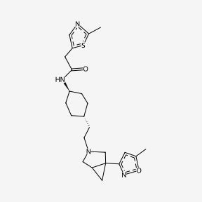 Cc1cc(C23CC2CN(CC[C@H]2CC[C@H](NC(=O)Cc4cnc(C)s4)CC2)C3)no1